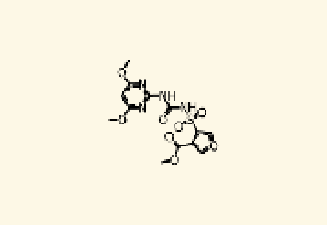 COC(=O)c1cocc1S(=O)(=O)NC(=O)Nc1nc(OC)cc(OC)n1